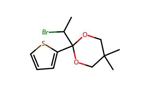 CC(Br)C1(c2cccs2)OCC(C)(C)CO1